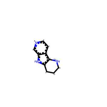 c1cc2c3c([nH]c2cn1)CCCN3